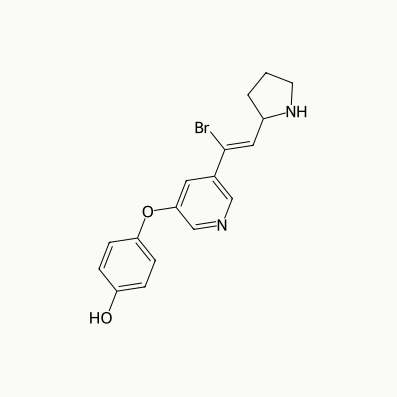 Oc1ccc(Oc2cncc(/C(Br)=C/C3CCCN3)c2)cc1